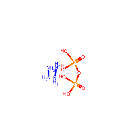 NN.NN.O=P(O)(O)OP(=O)(O)O